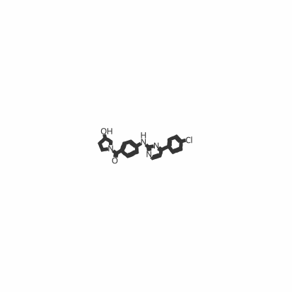 O=C(c1ccc(Nc2nccc(-c3ccc(Cl)cc3)n2)cc1)N1CCC(O)C1